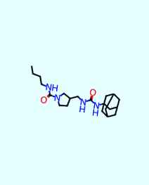 CCCCNC(=O)N1CCC(CNC(=O)NC23CC4CC(CC(C4)C2)C3)C1